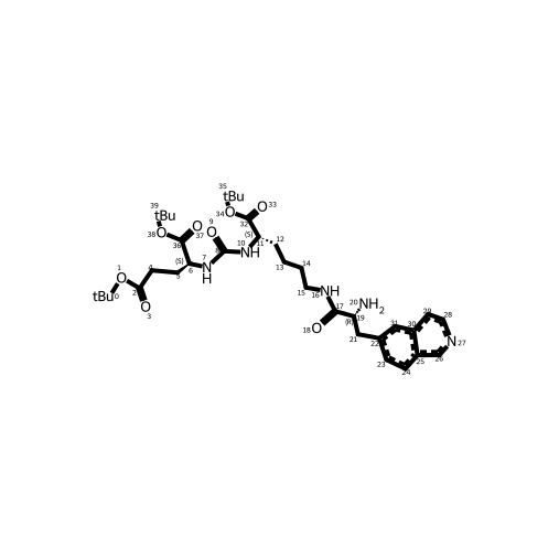 CC(C)(C)OC(=O)CC[C@H](NC(=O)N[C@@H](CCCCNC(=O)[C@H](N)Cc1ccc2cnccc2c1)C(=O)OC(C)(C)C)C(=O)OC(C)(C)C